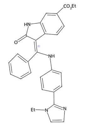 CCOC(=O)c1ccc2c(c1)NC(=O)/C2=C(/Nc1ccc(-c2nccn2CC)cc1)c1ccccc1